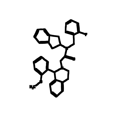 COc1ccccc1C1c2ccccc2CCN1CC(=O)N(Cc1ccccc1F)C1Cc2ccccc2C1